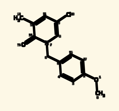 COc1ccc(Cn2cc(Cl)cc(C)c2=O)cc1